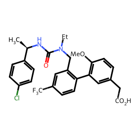 CCN(Cc1cc(C(F)(F)F)ccc1-c1cc(CC(=O)O)ccc1OC)C(=O)N[C@H](C)c1ccc(Cl)cc1